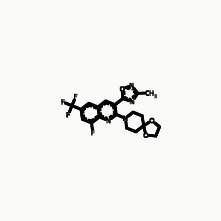 Cc1noc(-c2cc3cc(C(F)(F)F)cc(F)c3nc2N2CCC3(CC2)OCCO3)n1